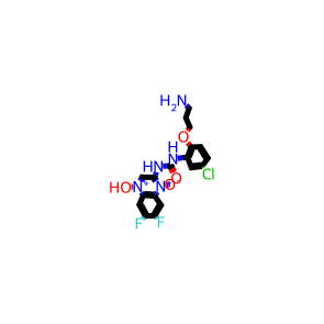 NCCCOc1ccc(Cl)cc1NC(=O)Nc1c[n+](O)c2cc(F)c(F)cc2[n+]1[O-]